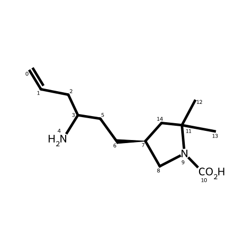 C=CCC(N)CC[C@@H]1CN(C(=O)O)C(C)(C)C1